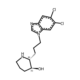 O[C@H]1CCCN[C@@H]1CCCn1cnc2cc(Cl)c(Cl)cc21